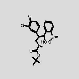 CN(CC(c1ccc(Cl)c(Cl)c1)C(O)c1ccccc1[S+](C)[O-])C(=O)OC(C)(C)C